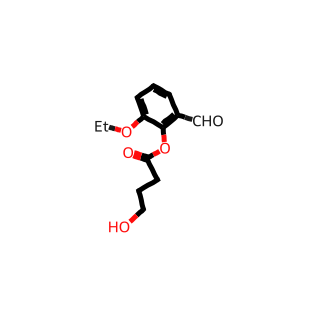 CCOc1cccc(C=O)c1OC(=O)CCCO